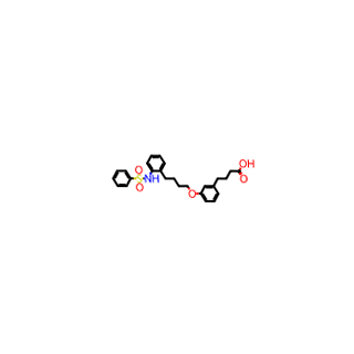 O=C(O)CCCc1cccc(OCCCCc2ccccc2NS(=O)(=O)c2ccccc2)c1